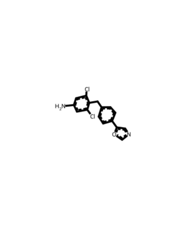 Nc1cc(Cl)c(Cc2ccc(-c3cnco3)cc2)c(Cl)c1